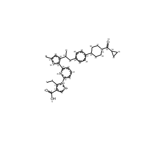 CCc1c(C(=O)O)cnn1-c1cccc(-c2sc(C)cc2C(C)Cc2ccc(C3CCN(C(=O)C4CC4)CC3)cc2)n1